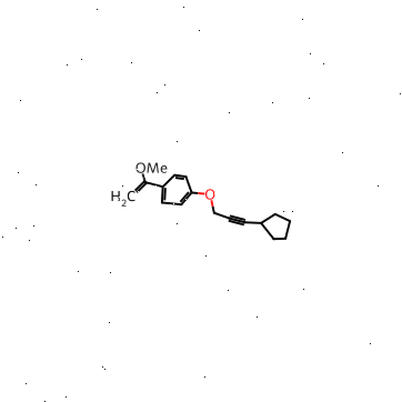 C=C(OC)c1ccc(OCC#CC2CCCC2)cc1